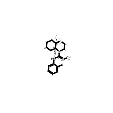 Cc1ccccc1N/C(=N/C#N)N1CCN[C@@H]2CCCC[C@H]21